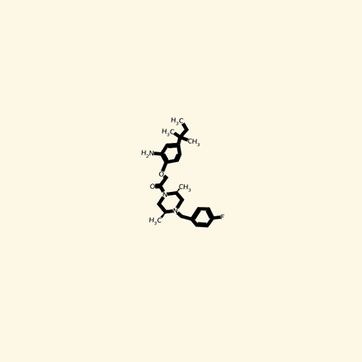 CCC(C)(C)c1ccc(OCC(=O)N2C[C@H](C)N(Cc3ccc(F)cc3)C[C@H]2C)c(N)c1